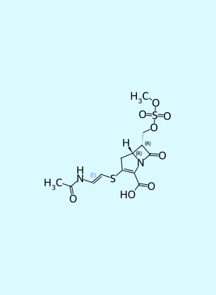 COS(=O)(=O)OC[C@@H]1C(=O)N2C(C(=O)O)=C(S/C=C/NC(C)=O)C[C@H]12